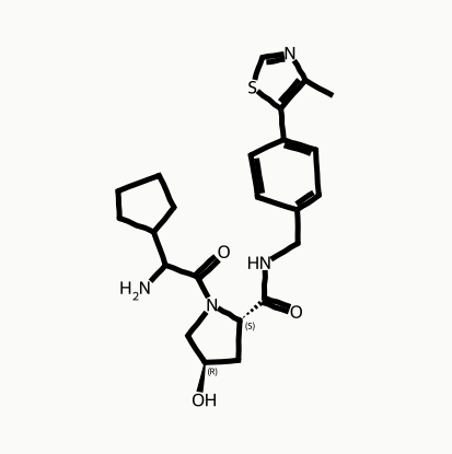 Cc1ncsc1-c1ccc(CNC(=O)[C@@H]2C[C@@H](O)CN2C(=O)C(N)C2CCCC2)cc1